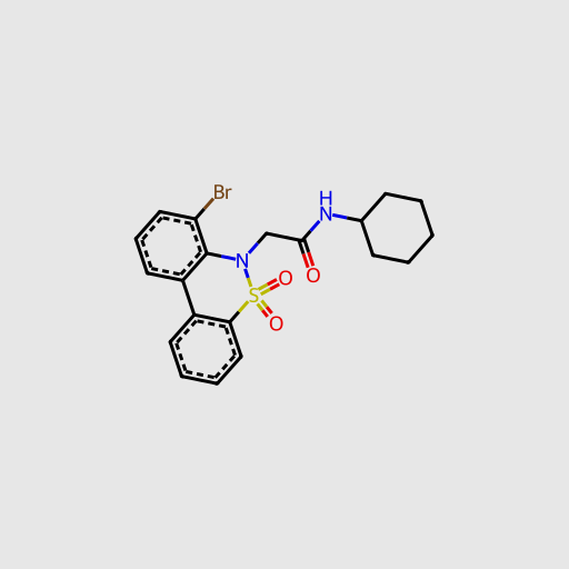 O=C(CN1c2c(Br)cccc2-c2ccccc2S1(=O)=O)NC1CCCCC1